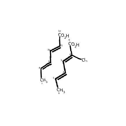 CC=CC=C(Cl)C(=O)O.CC=CC=CC(=O)O